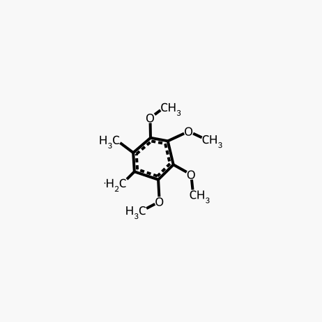 [CH2]c1c(C)c(OC)c(OC)c(OC)c1OC